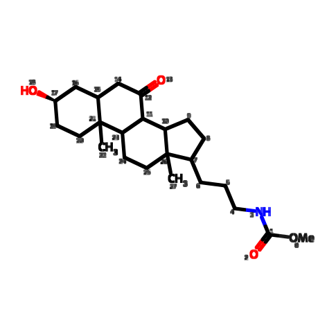 COC(=O)NCCCC1CCC2C3C(=O)CC4C[C@H](O)CCC4(C)C3CCC12C